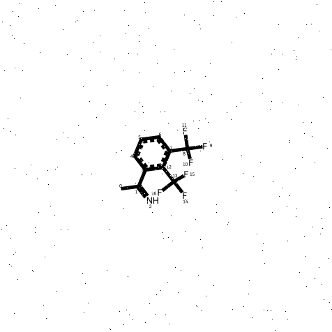 CC(=N)c1cccc(C(F)(F)F)c1C(F)(F)F